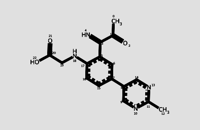 CC(=O)C(=N)c1cc(-c2cnc(C)nc2)ccc1NCC(=O)O